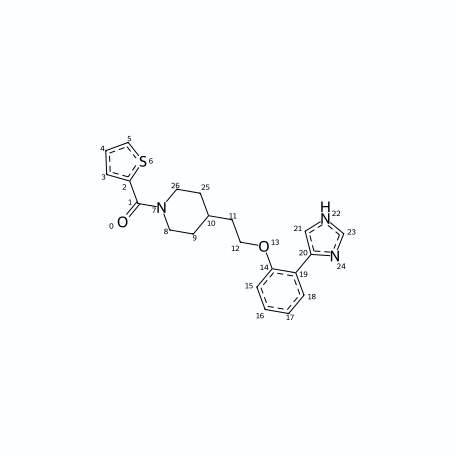 O=C(c1cccs1)N1CCC(CCOc2ccccc2-c2c[nH]cn2)CC1